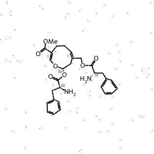 COC(=O)/C1=C/O[C@@H](OC(=O)[C@@H](N)Cc2ccccc2)C/C(COC(=O)[C@@H](N)Cc2ccccc2)=C\CC1